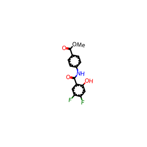 COC(=O)c1ccc(NC(=O)c2cc(F)c(F)cc2O)cc1